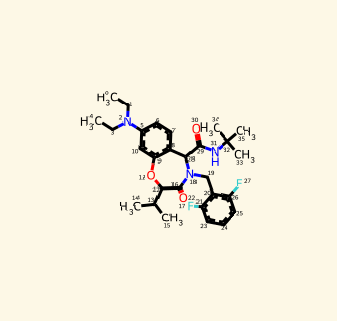 CCN(CC)c1ccc2c(c1)OC(C(C)C)C(=O)N(Cc1c(F)cccc1F)C2C(=O)NC(C)(C)C